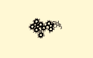 CC1(C)c2ccccc2-c2c(-c3ccc(N(c4ccccc4)c4cccc5c4-c4ccccc4C54c5ccccc5-c5ccccc54)cc3)cccc21